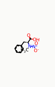 CN([C@@H](Cc1ccccc1)C(=O)O)[N+](=O)[O-]